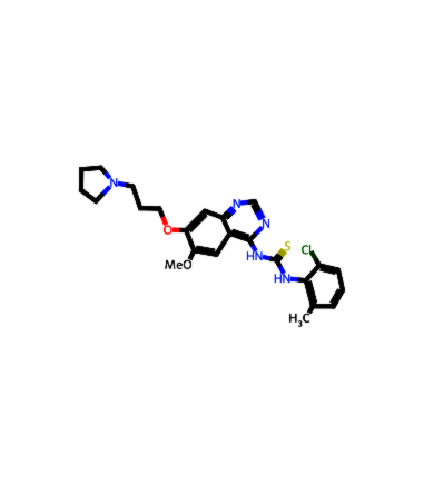 COc1cc2c(NC(=S)Nc3c(C)cccc3Cl)ncnc2cc1OCCCN1CCCC1